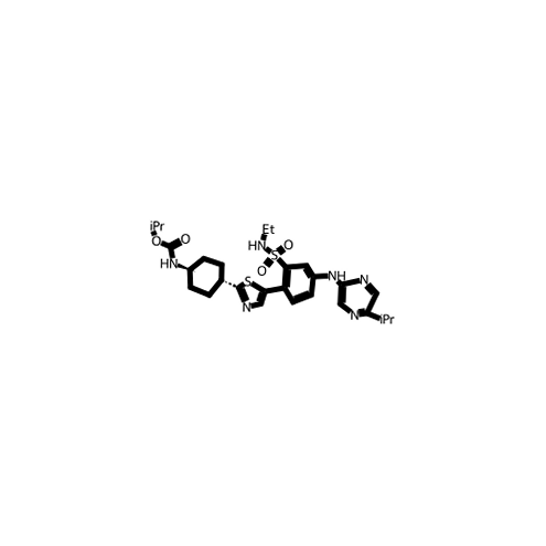 CCNS(=O)(=O)c1cc(Nc2cnc(C(C)C)cn2)ccc1-c1cnc([C@H]2CC[C@H](NC(=O)OC(C)C)CC2)s1